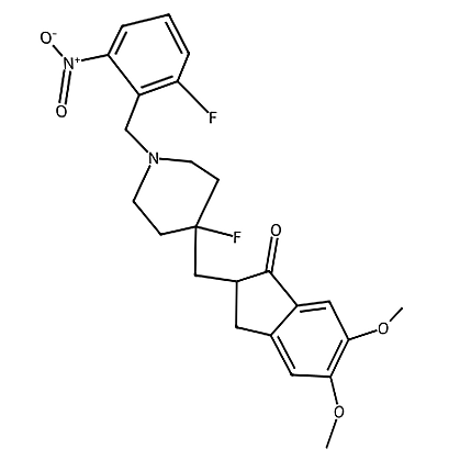 COc1cc2c(cc1OC)C(=O)C(CC1(F)CCN(Cc3c(F)cccc3[N+](=O)[O-])CC1)C2